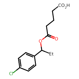 CCC(OC(=O)CCCC(=O)O)c1ccc(Cl)cc1